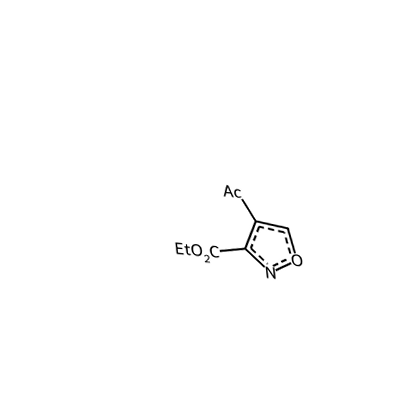 CCOC(=O)c1nocc1C(C)=O